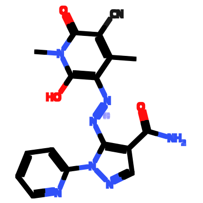 Cc1c(/N=N/c2c(C(N)=O)cnn2-c2ccccn2)c(O)n(C)c(=O)c1C#N